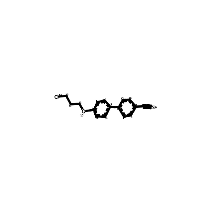 N#Cc1ccc(-c2ccc(OCCCCl)cc2)cc1